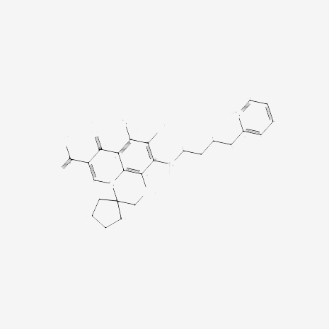 Nc1c(F)c(NCCCCc2ccccn2)c2c3c1c(=O)c(C(=O)O)cn3C1(CCCC1)CO2